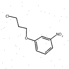 O=[N+]([O-])c1cccc(OCCCCl)c1